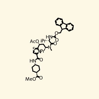 COC(=O)[C@H]1CC[C@H](NC(=O)c2csc([C@@H](C[C@H](C(C)C)N(C)C(=O)[C@@H](NC(=O)OCC3c4ccccc4-c4ccccc43)C(C)C)OC(C)=O)n2)CC1